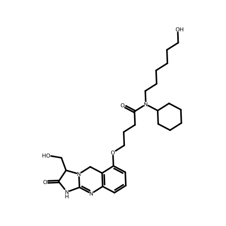 O=C1NC2=Nc3cccc(OCCCC(=O)N(CCCCCCO)C4CCCCC4)c3CN2C1CO